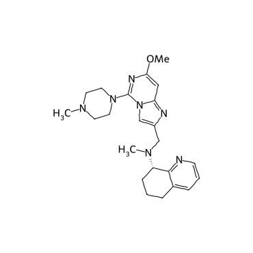 COc1cc2nc(CN(C)[C@H]3CCCc4cccnc43)cn2c(N2CCN(C)CC2)n1